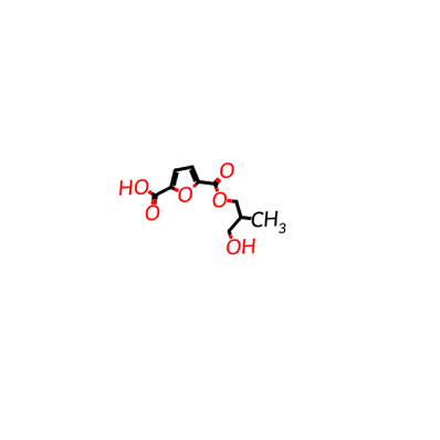 CC(CO)COC(=O)c1ccc(C(=O)O)o1